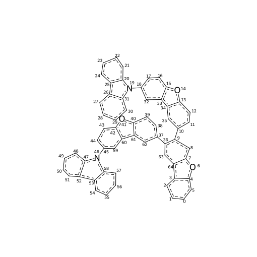 c1ccc2c(c1)oc1cc(-c3ccc4oc5ccc(-n6c7ccccc7c7ccccc76)cc5c4c3)c(-c3ccc4oc5ccc(-n6c7ccccc7c7ccccc76)cc5c4c3)cc12